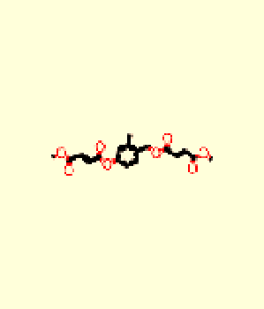 COC(=O)/C=C/C(=O)OCc1ccc(OC(=O)/C=C/C(=O)OC)cc1C